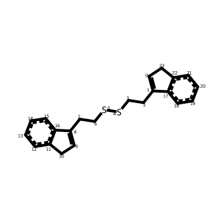 C1=C(CCSSCCC2=CCc3ccccc32)c2ccccc2C1